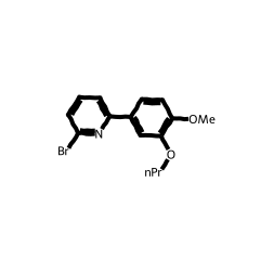 CCCOc1cc(-c2cccc(Br)n2)ccc1OC